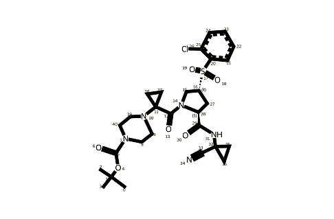 CC(C)(C)OC(=O)N1CCN(C2(C(=O)N3C[C@H](S(=O)(=O)c4ccccc4Cl)C[C@H]3C(=O)NC3(C#N)CC3)CC2)CC1